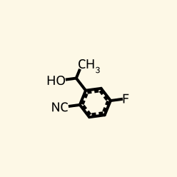 CC(O)c1cc(F)ccc1C#N